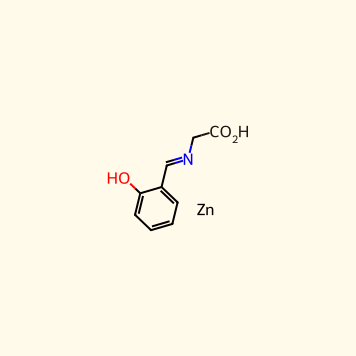 O=C(O)CN=Cc1ccccc1O.[Zn]